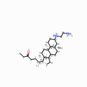 CCC(=O)CC[C@@H](C)[C@H]1CCC2C3CC[C@@H]4CC(NCCN)CC[C@]4(C)C3CC[C@@]21C